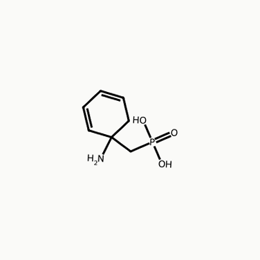 NC1(CP(=O)(O)O)C=CC=CC1